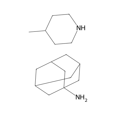 CC1CCNCC1.NC12CC3CC(CC(C3)C1)C2